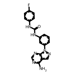 Nc1ncnc2c1cnn2-c1cccc(NC(=O)Nc2ccc(F)cc2)c1